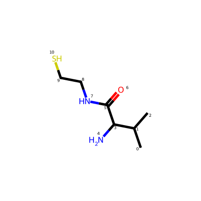 CC(C)C(N)C(=O)NCCS